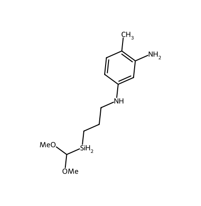 COC(OC)[SiH2]CCCNc1ccc(C)c(N)c1